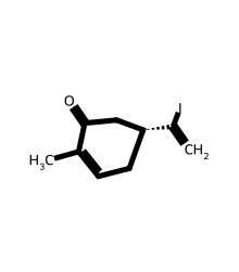 C=C(I)[C@@H]1CC=C(C)C(=O)C1